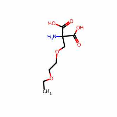 CCOCCOCC(N)(C(=O)O)C(=O)O